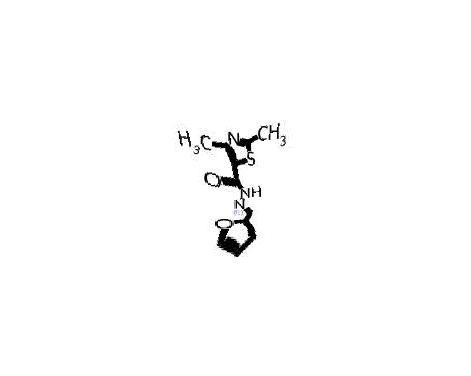 Cc1nc(C)c(C(=O)N/N=C/c2ccco2)s1